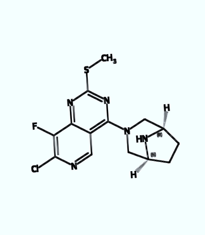 CSc1nc(N2C[C@H]3CC[C@@H](C2)N3)c2cnc(Cl)c(F)c2n1